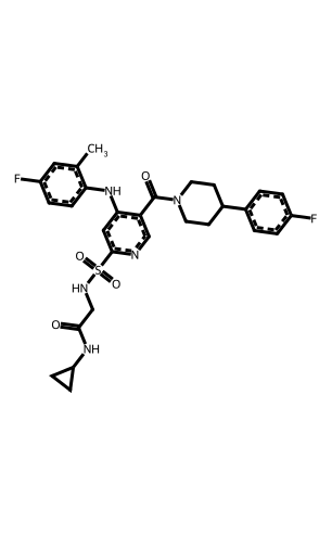 Cc1cc(F)ccc1Nc1cc(S(=O)(=O)NCC(=O)NC2CC2)ncc1C(=O)N1CCC(c2ccc(F)cc2)CC1